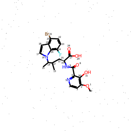 COc1ccnc(C(=O)N[C@@H](CC(C)C(C)n2ccc3c(Br)ccc(F)c32)C(=O)O)c1O